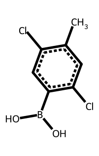 Cc1cc(Cl)c(B(O)O)cc1Cl